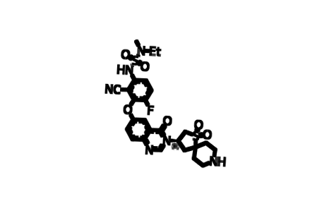 CCN(C)S(=O)(=O)Nc1ccc(F)c(Oc2ccc3ncn([C@@H]4CC5(CCNCC5)S(=O)(=O)C4)c(=O)c3c2)c1C#N